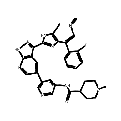 C=N/C=C(/c1ccccc1F)c1nc(-c2n[nH]c3ncc(-c4cncc(NC(=O)C5CCN(C)CC5)c4)cc23)[nH]c1C